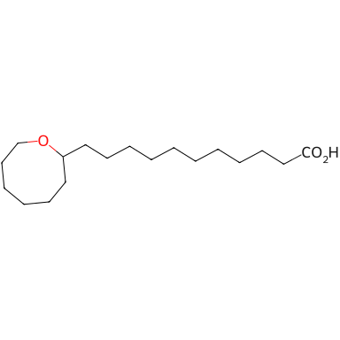 O=C(O)CCCCCCCCCCC1CCCCCCO1